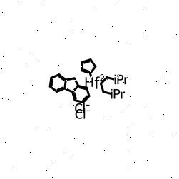 CC(C)C[C](CC(C)C)=[Hf+2]([C]1=CC=CC1)[c]1cccc2c1Cc1ccccc1-2.[Cl-].[Cl-]